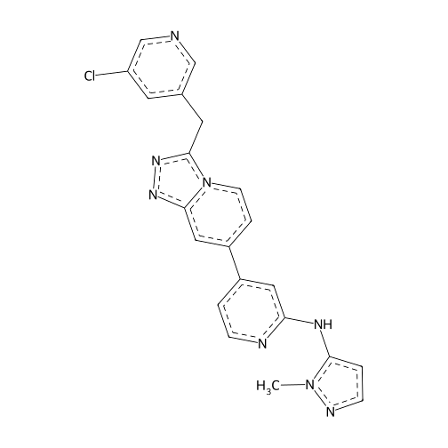 Cn1nccc1Nc1cc(-c2ccn3c(Cc4cncc(Cl)c4)nnc3c2)ccn1